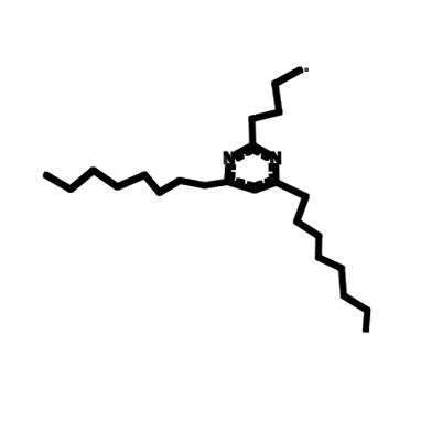 [CH2]CCCc1nc(CCCCCCCC)cc(CCCCCCCC)n1